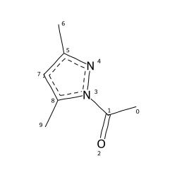 CC(=O)n1nc(C)[c]c1C